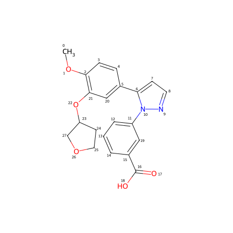 COc1ccc(-c2ccnn2-c2cccc(C(=O)O)c2)cc1OC1CCOC1